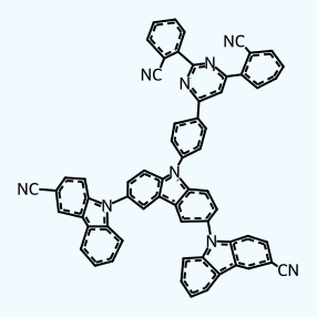 N#Cc1ccc2c(c1)c1ccccc1n2-c1ccc2c(c1)c1cc(-n3c4ccccc4c4cc(C#N)ccc43)ccc1n2-c1ccc(-c2cc(-c3ccccc3C#N)nc(-c3ccccc3C#N)n2)cc1